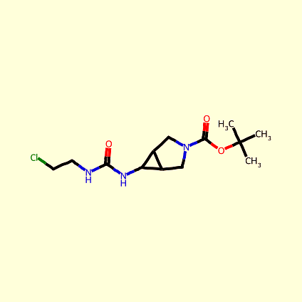 CC(C)(C)OC(=O)N1CC2C(C1)C2NC(=O)NCCCl